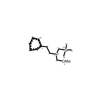 COCN(CCc1[c]cccc1)C[Si](C)(C)C